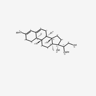 COC1=CC2=CC[C@@H]3[C@H](CC[C@@]4(C)[C@H]3CC[C@@]4(O)C(CO)OC)[C@@]2(C)CC1